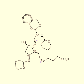 O=C(O)CCC/C=C\C[C@@H]1[C@@H](/C=C/[C@@H](OC2CCCCO2)C2OCc3ccccc3O2)[C@H](O)C[C@@H]1OC1CCCCO1